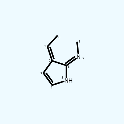 C/C=C1/C=CN/C1=N/C